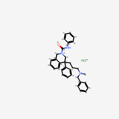 CN(CCCC1(c2ccccc2)CN(C(=O)Nc2ccccc2)Cc2ccccc21)Cc1ccccc1.Cl